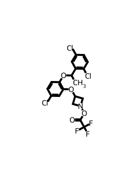 CC(Oc1ccc(Cl)cc1OC1CN(OC(=O)C(F)(F)F)C1)c1cc(Cl)ccc1Cl